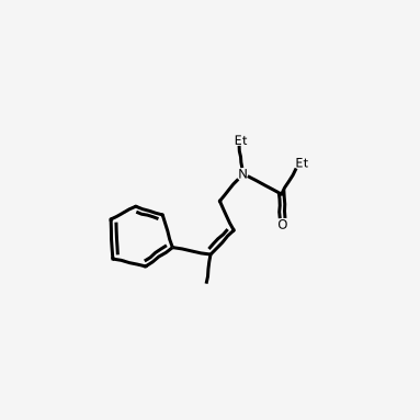 CCC(=O)N(CC)C/C=C(/C)c1ccccc1